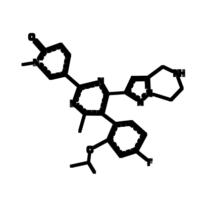 Cc1nc(-c2ccc(=O)n(C)c2)nc(-c2cc3n(n2)CCNC3)c1-c1ccc(F)cc1OC(C)C